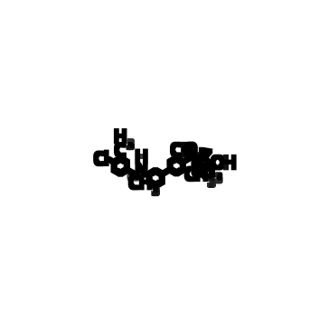 Cc1cc([C@@H](C)Nc2cccc(-c3cc(C)c(C(=O)N(C)C4(C(=O)O)CC4)c(C)c3)c2)ccc1Cl